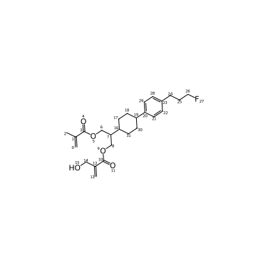 C=C(C)C(=O)OCC(COC(=O)C(=C)CO)C1CCC(c2ccc(CCCF)cc2)CC1